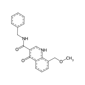 COCc1cccc2c(=O)c(C(=O)NCc3ccccc3)c[nH]c12